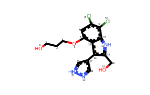 OCCCOc1cc(Cl)c(Cl)c2[nH]c(CO)c(-c3cn[nH]c3)c12